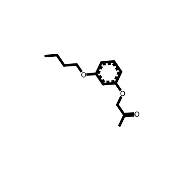 CCCCOc1cccc(OCC(C)=O)c1